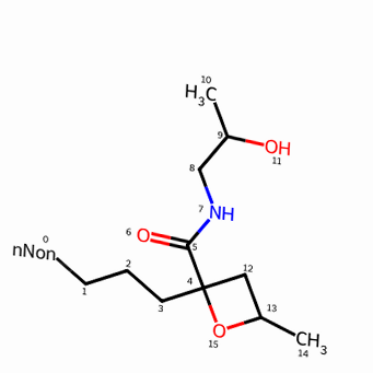 CCCCCCCCCCCCC1(C(=O)NCC(C)O)CC(C)O1